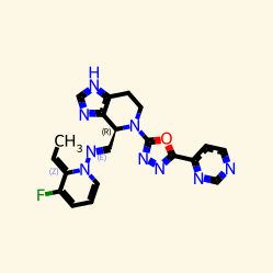 C/C=C1/C(F)=CC=CN1/N=C/[C@H]1c2nc[nH]c2CCN1c1nnc(-c2ccncn2)o1